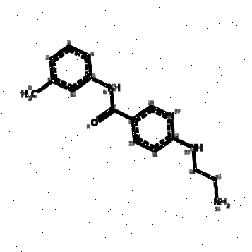 Cc1cccc(NC(=O)c2ccc(NCCN)nc2)c1